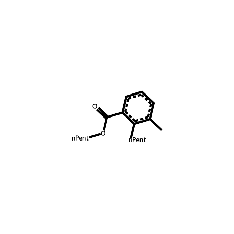 CCCCCOC(=O)c1cccc(C)c1CCCCC